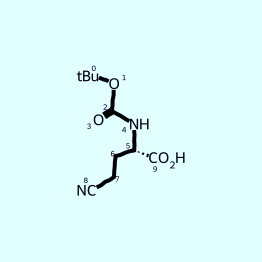 CC(C)(C)OC(=O)N[C@@H](CC[13C]#N)C(=O)O